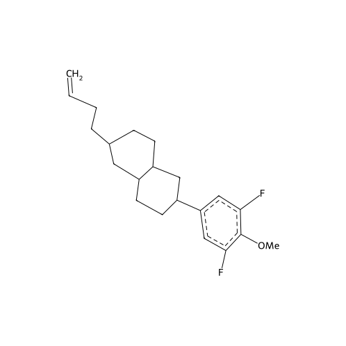 C=CCCC1CCC2CC(c3cc(F)c(OC)c(F)c3)CCC2C1